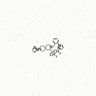 CC(C)C1CC2(CCN1Cc1ccccc1-n1cccn1)CCN(n1cccn1)CC2